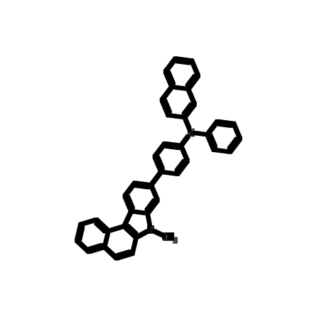 Cn1c2cc(-c3ccc(N(c4ccccc4)c4ccc5ccccc5c4)cc3)ccc2c2c3ccccc3ccc21